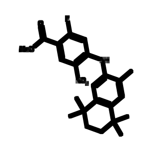 COC(=O)c1cc([N+](=O)[O-])c(Nc2cc3c(cc2C)C(C)(C)CCC3(C)C)cc1F